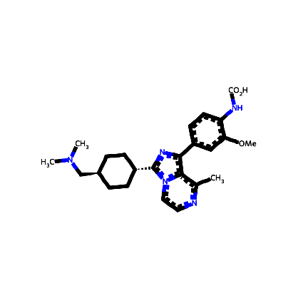 COc1cc(-c2nc([C@H]3CC[C@H](CN(C)C)CC3)n3ccnc(C)c23)ccc1NC(=O)O